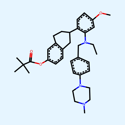 CCN(Cc1ccc(N2CCN(C)CC2)cc1)c1cc(OC)ccc1C1CCc2cc(OC(=O)C(C)(C)C)ccc2C1